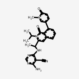 CC(Nc1ncnc(N)c1C#N)c1cc2cccc(-c3ccc(=O)n(C)c3)c2c(=O)n1C(C)C